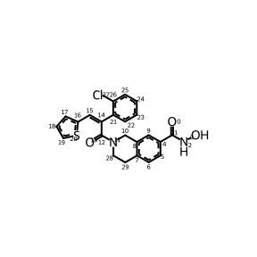 O=C(NO)c1ccc2c(c1)CN(C(=O)C(=Cc1cccs1)c1ccccc1Cl)CC2